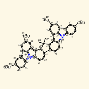 CC(C)(C)c1ccc2c(c1)c1cc(C(C)(C)C)cc3c4c5c(ccc4n2c13)-c1ccc2c(c1C5(C)C)c1cc(C(C)(C)C)cc3c4cc(C(C)(C)C)ccc4n2c31